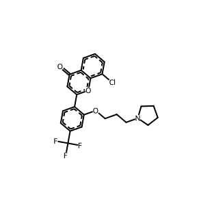 O=c1cc(-c2ccc(C(F)(F)F)cc2OCCCN2CCCC2)oc2c(Cl)cccc12